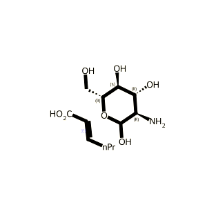 CCC/C=C/C(=O)O.N[C@H]1C(O)O[C@H](CO)[C@@H](O)[C@@H]1O